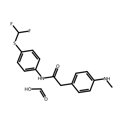 CNc1ccc(CC(=O)Nc2ccc(SC(F)F)cc2)cc1.O=CO